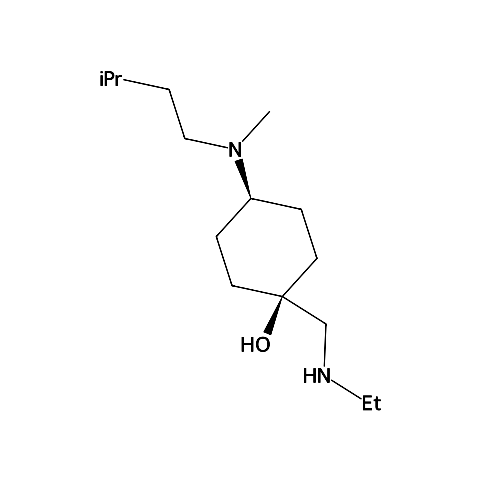 CCNC[C@]1(O)CC[C@@H](N(C)CCC(C)C)CC1